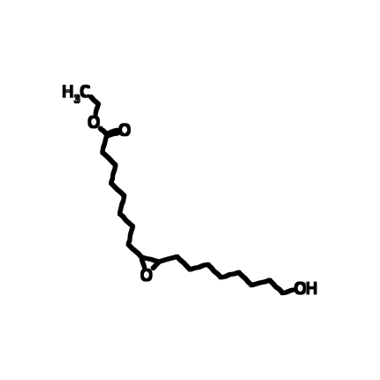 CCOC(=O)CCCCCCCC1OC1CCCCCCCCO